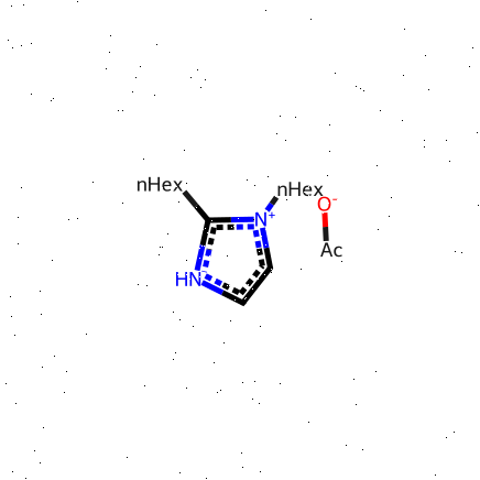 CC(=O)[O-].CCCCCCc1[nH]cc[n+]1CCCCCC